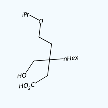 CCCCCCC(CO)(CCOC(C)C)CC(=O)O